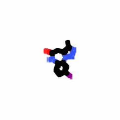 Cc1nnn2c1CC(=O)Nc1ccc(I)cc1-2